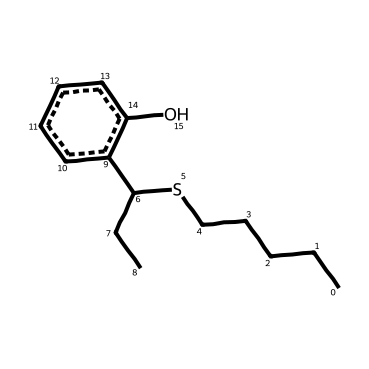 CCCCCSC(CC)c1ccccc1O